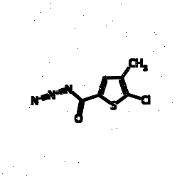 Cc1cc(C(=O)N=[N+]=[N-])sc1Cl